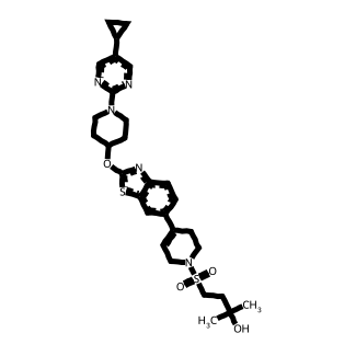 CC(C)(O)CCS(=O)(=O)N1CC=C(c2ccc3nc(OC4CCN(c5ncc(C6CC6)cn5)CC4)sc3c2)CC1